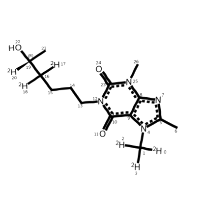 [2H]C([2H])([2H])n1c(C)nc2c1c(=O)n(CCCC([2H])([2H])[C@@]([2H])(C)O)c(=O)n2C